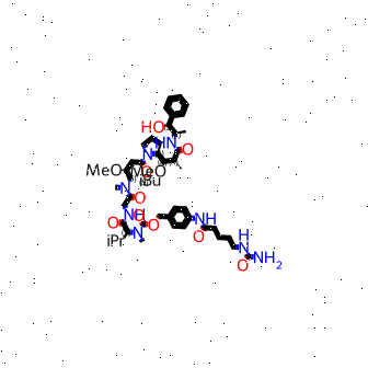 CC[C@H](C)[C@@H]([C@@H](CC(=O)N1CCC[C@H]1[C@H](OC)[C@@H](C)C(=O)N[C@H](C)[C@@H](O)c1ccccc1)OC)N(C)C(=O)CNC(=O)[C@H](C(C)C)N(C)C(=O)OCc1ccc(NC(=O)CCCCNC(N)=O)cc1